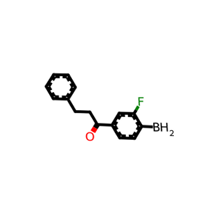 Bc1ccc(C(=O)CCc2ccccc2)cc1F